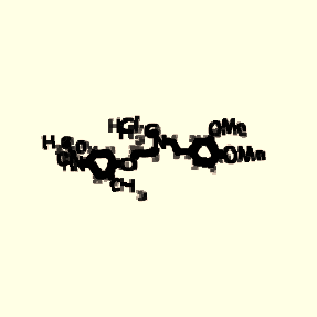 COc1ccc(CCN(C)CCOc2ccc(NS(C)(=O)=O)cc2C)cc1OC.Cl